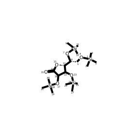 C[Si](C)(C)OC[C@@H](O[Si](C)(C)C)[C@H]1OC(=O)C(O[Si](C)(C)C)C1O[Si](C)(C)C